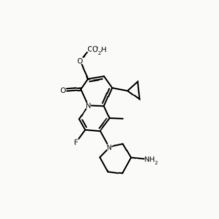 Cc1c(N2CCCC(N)C2)c(F)cn2c(=O)c(OC(=O)O)cc(C3CC3)c12